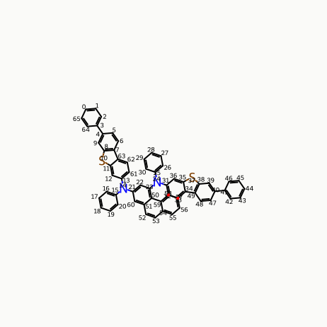 c1ccc(-c2ccc3c(c2)sc2cc(N(c4ccccc4)c4cc(N(c5ccccc5)c5ccc6c(c5)sc5cc(-c7ccccc7)ccc56)c5c(ccc6ccccc65)c4)ccc23)cc1